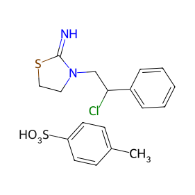 Cc1ccc(S(=O)(=O)O)cc1.N=C1SCCN1CC(Cl)c1ccccc1